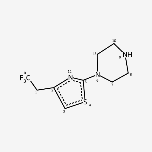 FC(F)(F)Cc1csc(N2CCNCC2)n1